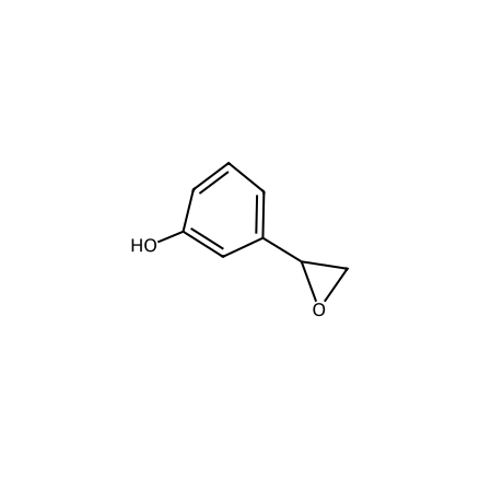 Oc1cccc(C2CO2)c1